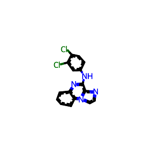 Clc1ccc(Nc2nc3ccccc3n3ccnc23)cc1Cl